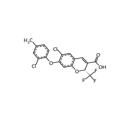 Cc1ccc(Oc2cc3c(cc2Cl)C=C(C(=O)O)[C@H](C(F)(F)F)O3)c(Cl)c1